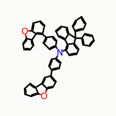 c1ccc(C2(c3ccccc3)c3ccccc3-c3c(N(c4ccc(-c5ccc6oc7ccccc7c6c5)cc4)c4ccc(-c5cccc6oc7ccccc7c56)cc4)cccc32)cc1